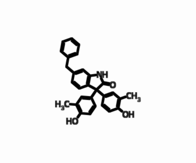 Cc1cc(C2(c3ccc(O)c(C)c3)C(=O)Nc3cc(Cc4ccccc4)ccc32)ccc1O